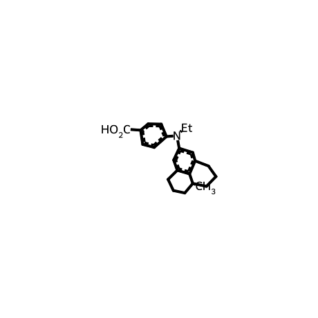 CCN(c1ccc(C(=O)O)cc1)c1cc2c3c(c1)CCCC3(C)CCC2